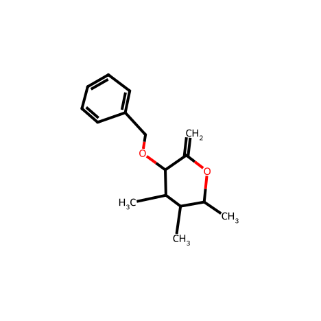 C=C1OC(C)C(C)C(C)C1OCc1ccccc1